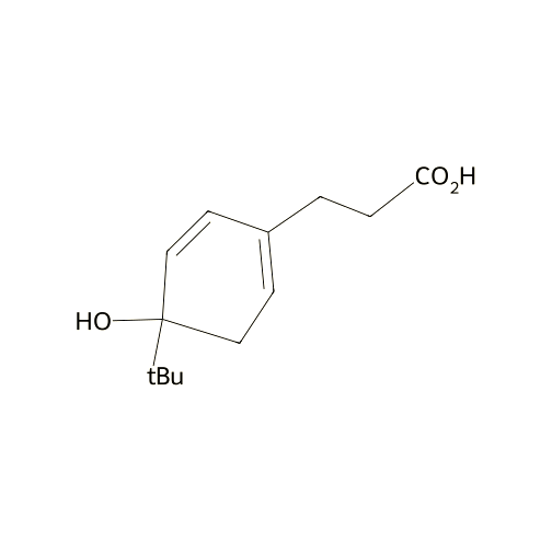 CC(C)(C)C1(O)C=CC(CCC(=O)O)=CC1